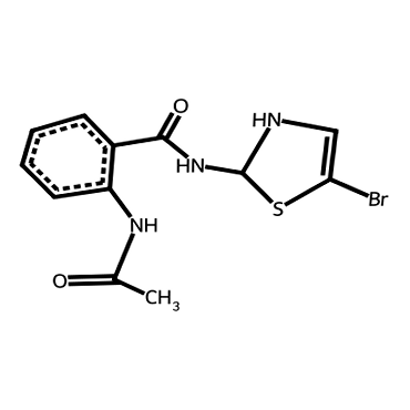 CC(=O)Nc1ccccc1C(=O)NC1NC=C(Br)S1